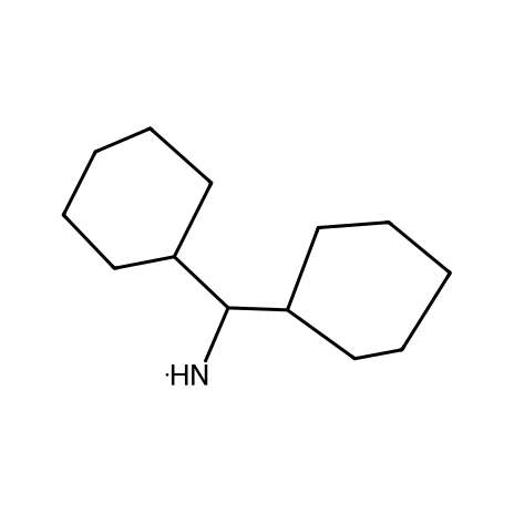 [NH]C(C1CCCCC1)C1CCCCC1